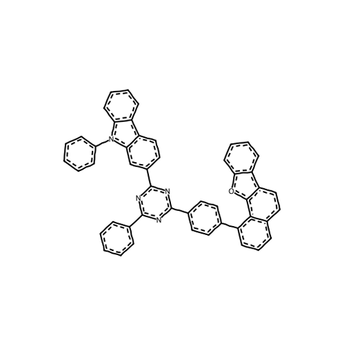 c1ccc(-c2nc(-c3ccc(-c4cccc5ccc6c7ccccc7oc6c45)cc3)nc(-c3ccc4c5ccccc5n(-c5ccccc5)c4c3)n2)cc1